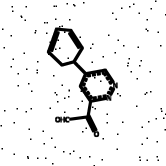 O=CC(=O)c1cc(C2C=CC=CC2)cnn1